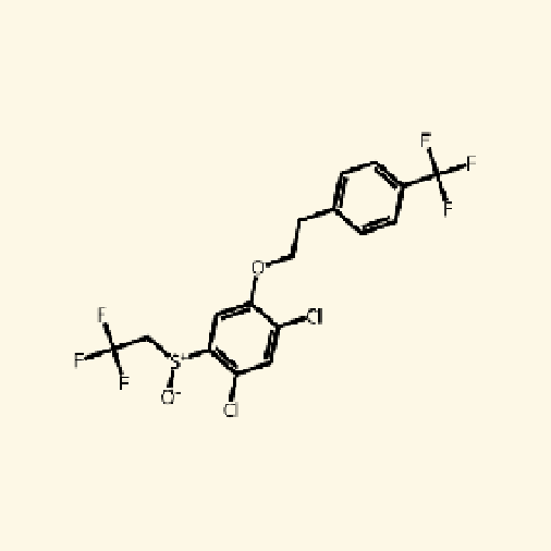 [O-][S+](CC(F)(F)F)c1cc(OCCc2ccc(C(F)(F)F)cc2)c(Cl)cc1Cl